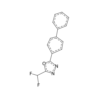 FC(F)c1nnc(-c2ccc(-c3ccccc3)cc2)o1